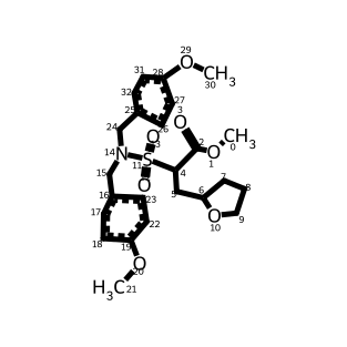 COC(=O)C(CC1CCCO1)S(=O)(=O)N(Cc1ccc(OC)cc1)Cc1ccc(OC)cc1